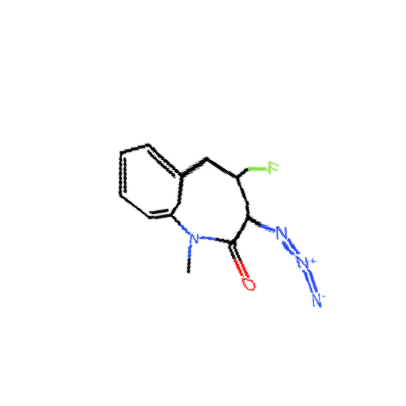 CN1C(=O)C(N=[N+]=[N-])C(F)Cc2ccccc21